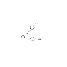 COc1ccc(/C=C/C(=O)Nc2ccccc2COc2ccc(-n3cnc(C)c3)cc2)cc1O.Cl